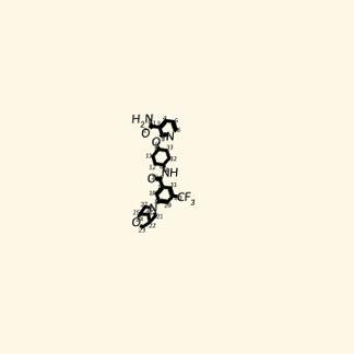 NC(=O)c1cccnc1OC1CCC(NC(=O)c2cc(N3CC4COC(C4)C3)cc(C(F)(F)F)c2)CC1